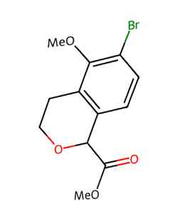 COC(=O)C1OCCc2c1ccc(Br)c2OC